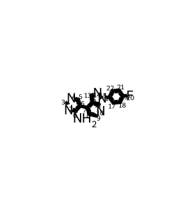 Nc1ncncc1-c1ccnc2c1cnn2-c1ccc(F)cc1